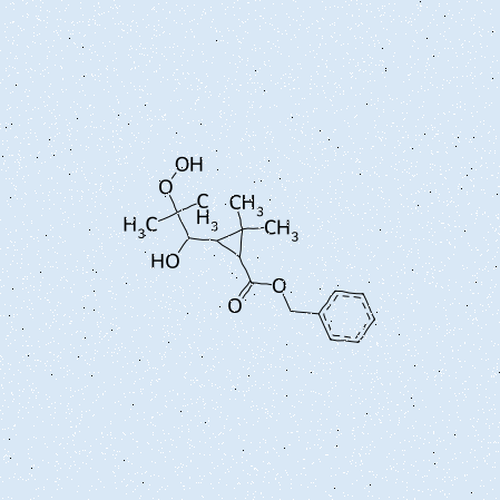 CC(C)(OO)C(O)C1C(C(=O)OCc2ccccc2)C1(C)C